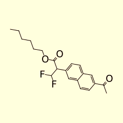 CCCCCCOC(=O)C(c1ccc2cc(C(C)=O)ccc2c1)C(F)F